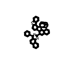 c1ccc(-c2nc(-c3cc4ccccc4c4c3-c3ccc5sc6ccccc6c5c3C43C4CC5CC(C4)CC3C5)nc3c2ccc2ccccc23)cc1